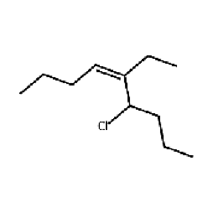 CCC/C=C(/CC)C(Cl)CCC